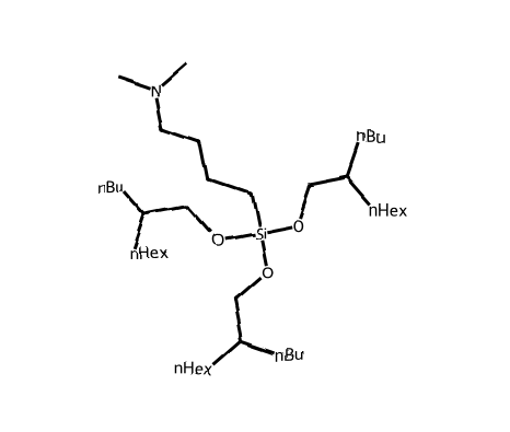 CCCCCCC(CCCC)CO[Si](CCCCN(C)C)(OCC(CCCC)CCCCCC)OCC(CCCC)CCCCCC